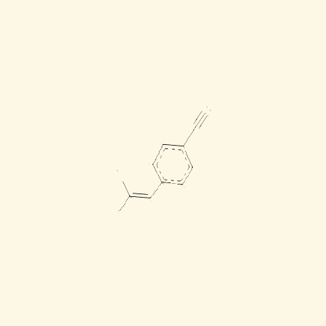 N#Cc1ccc(/C=C(\F)I)cc1